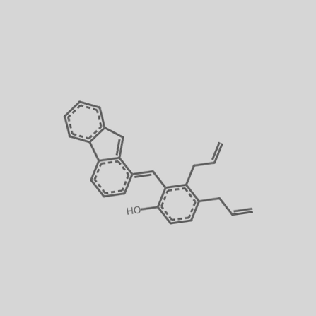 C=CCc1ccc(O)c(C=c2cccc3c2=Cc2ccccc2-3)c1CC=C